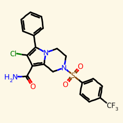 NC(=O)c1c(Cl)c(-c2ccccc2)n2c1CN(S(=O)(=O)c1ccc(C(F)(F)F)cc1)CC2